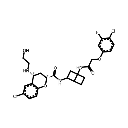 O=C(COc1ccc(Cl)c(F)c1)NC12CCC1C(NC(=O)[C@H]1C[C@@H](NCCO)c3cc(Cl)ccc3O1)C2